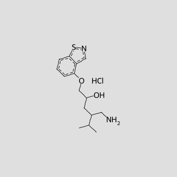 CC(C)C(CN)CC(O)COc1cccc2sncc12.Cl